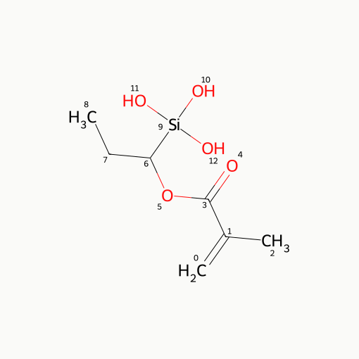 C=C(C)C(=O)OC(CC)[Si](O)(O)O